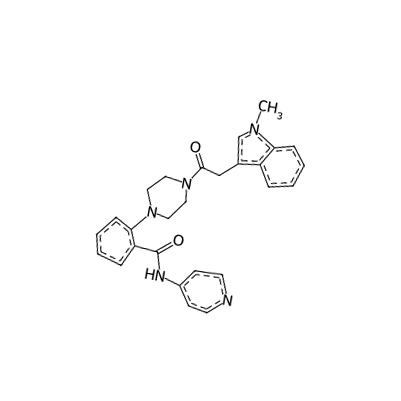 Cn1cc(CC(=O)N2CCN(c3ccccc3C(=O)Nc3ccncc3)CC2)c2ccccc21